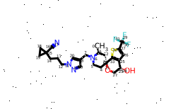 C[C@H]1C[C@@]2(CCN1Cc1cnn(CCCC3(C#N)CC3)c1)OC[C@@H](O)c1cc(C(F)(F)F)sc12